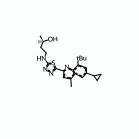 Cc1cc(-c2nnc(NCC[C@@H](C)O)s2)nc2c(C(C)(C)C)cc(C3CC3)cc12